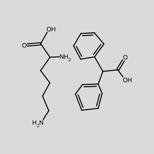 NCCCCC(N)C(=O)O.O=C(O)C(c1ccccc1)c1ccccc1